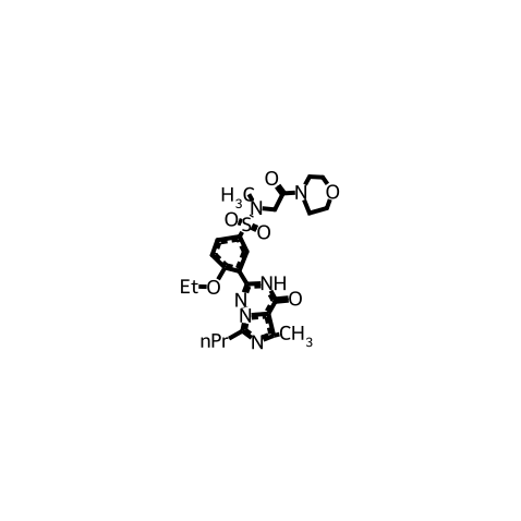 CCCc1nc(C)c2c(=O)[nH]c(-c3cc(S(=O)(=O)N(C)CC(=O)N4CCOCC4)ccc3OCC)nn12